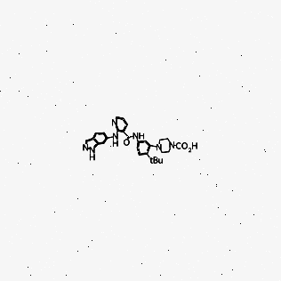 CC(C)(C)c1ccc(NC(=O)c2cccnc2Nc2ccc3cn[nH]c3c2)cc1N1CCN(C(=O)O)CC1